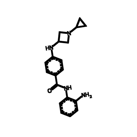 Nc1ccccc1NC(=O)c1ccc(NC2CN(C3CC3)C2)cc1